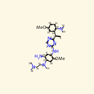 C=C(c1ncnc(Nc2cc(N)c(N(C)CCN(C)C)cc2OC)n1)c1cc(OC)ccc1N(C)C